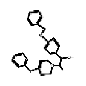 CC(C(O)c1ccc(OCc2ccccc2)cc1)N1CC=C(Cc2ccccc2)CC1